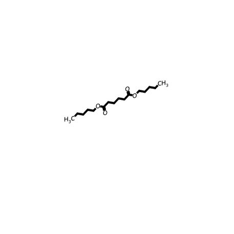 CCCCCOC(=O)CCCCC(=O)OCCCCC